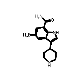 Bc1cc(C(N)=O)c2[nH]cc(C3CCNCC3)c2c1